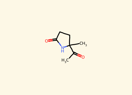 CC(=O)C1(C)CCC(=O)N1